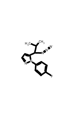 CC(C)C(N=[N+]=[N-])c1ccnn1-c1ccc(F)cc1